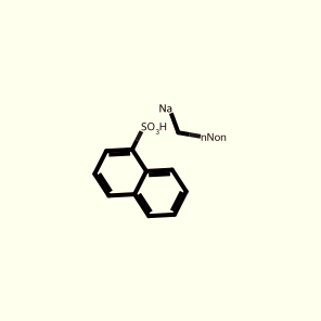 CCCCCCCCC[CH2][Na].O=S(=O)(O)c1cccc2ccccc12